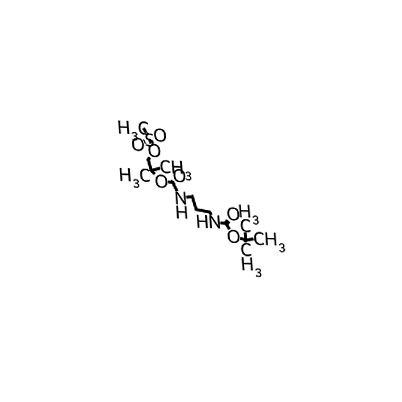 CC(C)(C)OC(=O)NCCCNC(=O)OC(C)(C)COS(C)(=O)=O